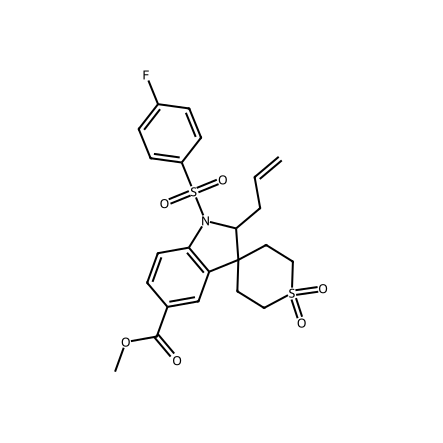 C=CCC1N(S(=O)(=O)c2ccc(F)cc2)c2ccc(C(=O)OC)cc2C12CCS(=O)(=O)CC2